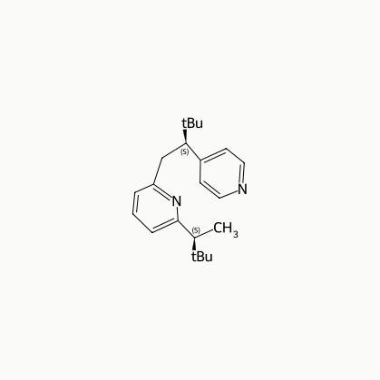 C[C@H](c1cccc(C[C@H](c2ccncc2)C(C)(C)C)n1)C(C)(C)C